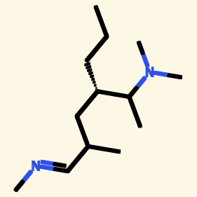 CCC[C@@H](CC(C)/C=N/C)C(C)N(C)C